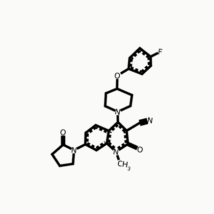 Cn1c(=O)c(C#N)c(N2CCC(Oc3ccc(F)cc3)CC2)c2ccc(N3CCCC3=O)cc21